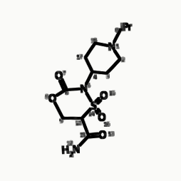 CC(C)N1CCC(N2C(=O)OCC(C(N)=O)S2(=O)=O)CC1